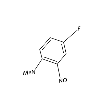 CNc1ccc(F)cc1N=O